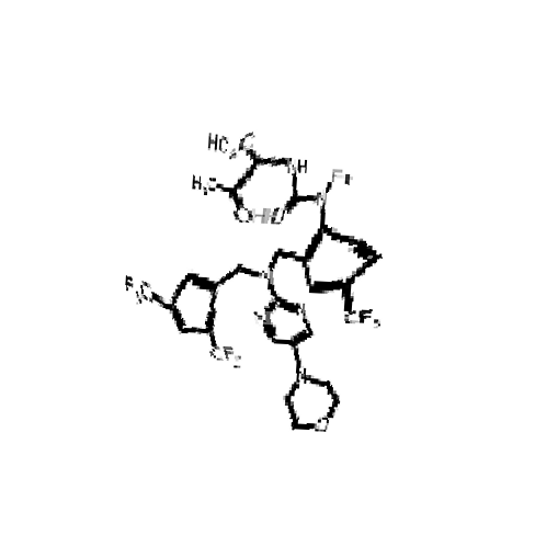 CCN(C(=O)NC(C(=O)O)C(C)O)c1ccc(C(F)(F)F)cc1CN(Cc1cc(C(F)(F)F)cc(C(F)(F)F)c1)c1ncc(N2CCOCC2)cn1